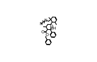 CC1C=CCC(C)(CN=[N+]=[N-])C1C(=O)CC(C)C(C(=O)OCc1ccccc1)C(O)c1ccccc1